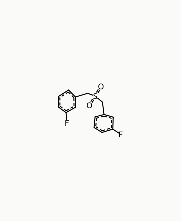 O=S(=O)(Cc1cccc(F)c1)Cc1cccc(F)c1